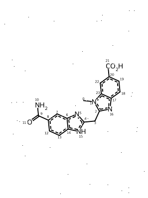 Cn1c(Cc2nc3cc(C(N)=O)ccc3[nH]2)nc2ccc(C(=O)O)cc21